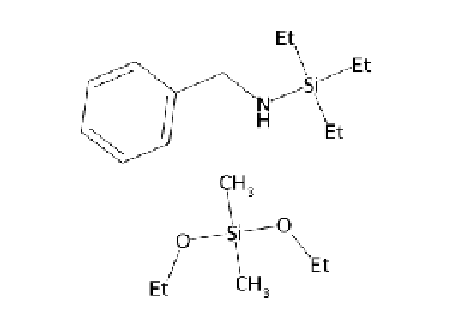 CCO[Si](C)(C)OCC.CC[Si](CC)(CC)NCc1ccccc1